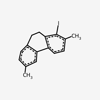 Cc1ccc2c(c1)-c1ccc(C)c(I)c1CC2